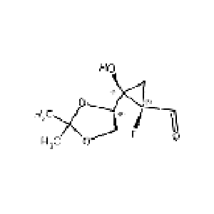 CC1(C)OC[C@H]([C@]2(O)C[C@]2(F)C=O)O1